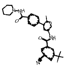 Cc1ncc(NC(=O)c2cc(C#N)cc(C(C)(C)C)c2)cc1-c1ccc(C(=O)NN2CCCCC2)cc1